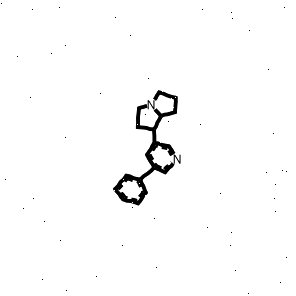 c1ccc(-c2cncc(C3CCN4CCCC34)c2)cc1